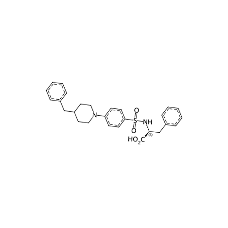 O=C(O)[C@H](Cc1ccccc1)NS(=O)(=O)c1ccc(N2CCC(Cc3ccccc3)CC2)cc1